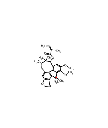 C/C=C(/C)C(=O)O[C@H]1c2cc(OC)c(OC)c(OC)c2-c2c(cc3c(c2OC)OCO3)C[C@H](C)[C@]1(C)O